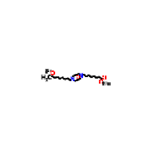 C=C(CCCCCCCN1CC2CN(CCCCCCCC(=O)OC(C)(C)C)CC(C1)O2)OC(C)C